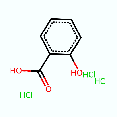 Cl.Cl.Cl.O=C(O)c1ccccc1O